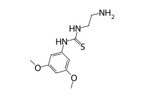 COc1cc(NC(=S)NCCN)cc(OC)c1